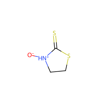 [O-][NH+]1CCSC1=S